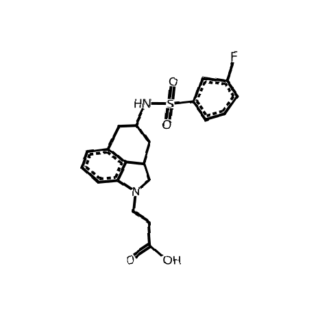 O=C(O)CCN1CC2CC(NS(=O)(=O)c3cccc(F)c3)Cc3cccc1c32